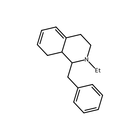 CCN1CCC2=CC=CCC2C1Cc1ccccc1